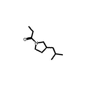 CCC(=O)N1CCC(CC(C)C)C1